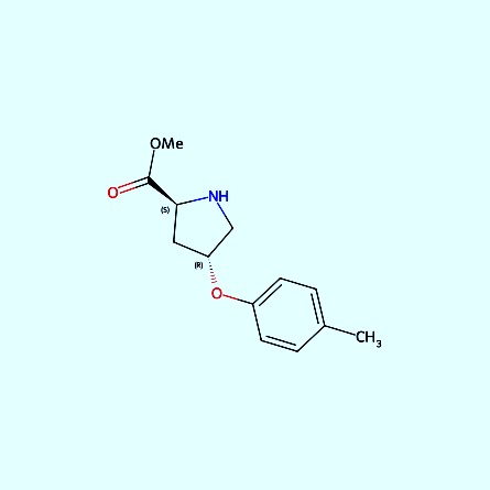 COC(=O)[C@@H]1C[C@@H](Oc2ccc(C)cc2)CN1